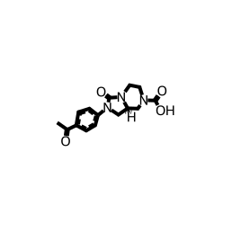 CC(=O)c1ccc(N2C[C@@H]3CN(C(=O)O)CCN3C2=O)cc1